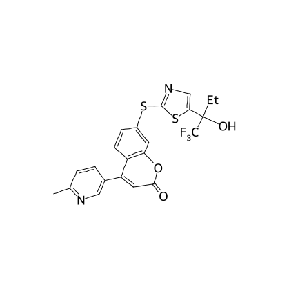 CCC(O)(c1cnc(Sc2ccc3c(-c4ccc(C)nc4)cc(=O)oc3c2)s1)C(F)(F)F